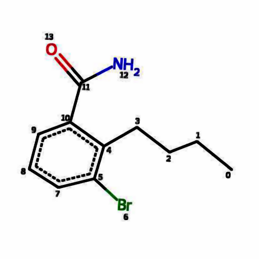 CCCCc1c(Br)cccc1C(N)=O